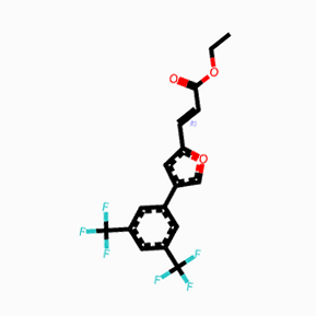 CCOC(=O)/C=C/c1cc(-c2cc(C(F)(F)F)cc(C(F)(F)F)c2)co1